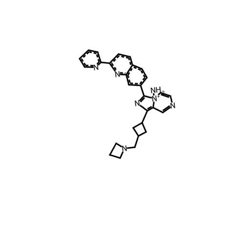 N[N+]12C=CN=CC1=C(C1CC(CN3CCC3)C1)N=C2c1ccc2ccc(-c3ccccn3)nc2c1